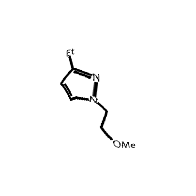 CCc1ccn(CCOC)n1